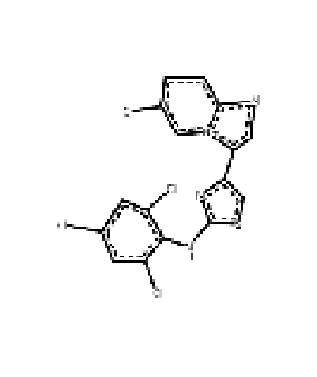 Clc1cc(Cl)c(Nc2nc(-c3cnc4ccc(Cl)cn34)cs2)c(Cl)c1